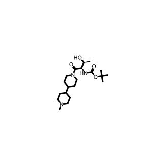 C[C@H](O)[C@@H](NC(=O)OC(C)(C)C)C(=O)N1CCC(C2CCN(C)CC2)CC1